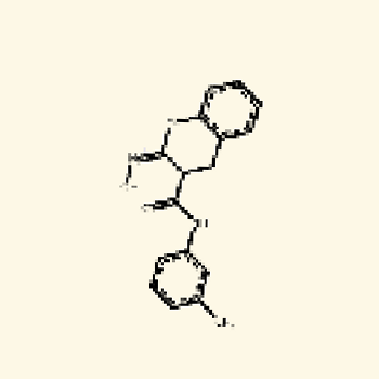 Cc1cccc(NC(=O)C2Cc3ccccc3O/C2=N/O)c1